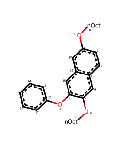 CCCCCCCCOc1ccc2cc(OCCCCCCCC)c(Oc3ccccc3)cc2c1